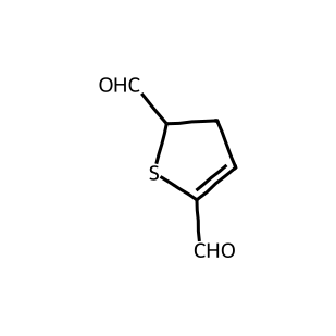 O=CC1=CCC(C=O)S1